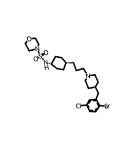 O=S(=O)(N[C@H]1CC[C@H](CCCN2CCC(Cc3cc(Cl)ccc3Br)CC2)CC1)N1CCOCC1